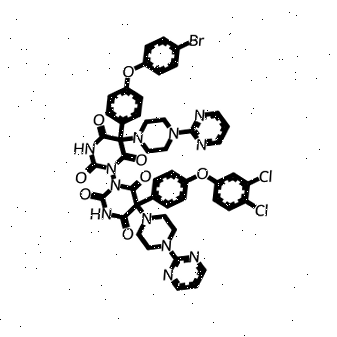 O=C1NC(=O)C(c2ccc(Oc3ccc(Br)cc3)cc2)(N2CCN(c3ncccn3)CC2)C(=O)N1N1C(=O)NC(=O)C(c2ccc(Oc3ccc(Cl)c(Cl)c3)cc2)(N2CCN(c3ncccn3)CC2)C1=O